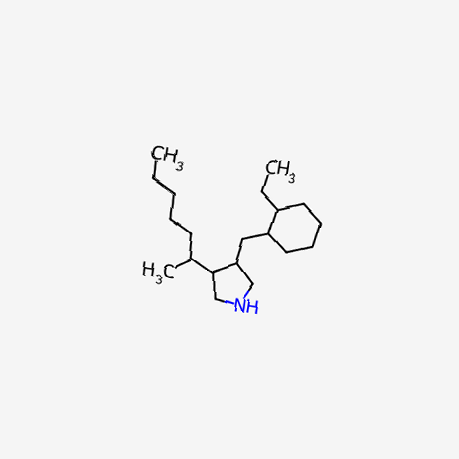 CCCCCC(C)C1CNCC1CC1CCCCC1CC